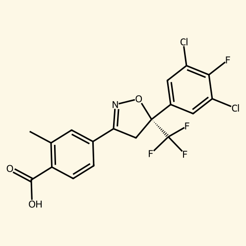 Cc1cc(C2=NO[C@](c3cc(Cl)c(F)c(Cl)c3)(C(F)(F)F)C2)ccc1C(=O)O